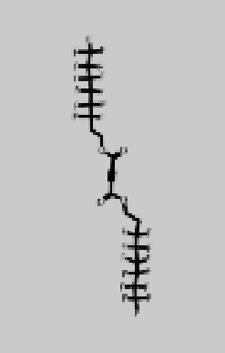 O=C(C#CC(=O)OCCC(F)(F)C(F)(F)C(F)(F)C(F)(F)C(F)(F)C(F)(F)F)OCCC(F)(F)C(F)(F)C(F)(F)C(F)(F)C(F)(F)C(F)(F)F